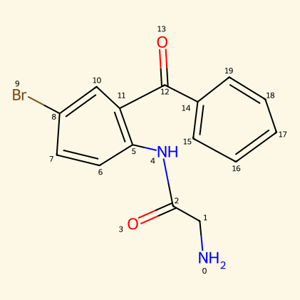 NCC(=O)Nc1ccc(Br)cc1C(=O)c1ccccc1